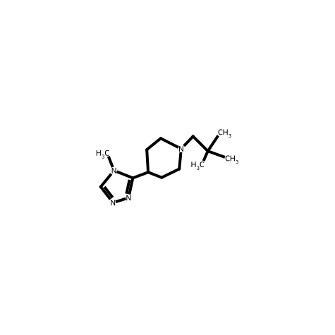 Cn1cnnc1C1CCN(CC(C)(C)C)CC1